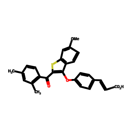 COc1ccc2c(Oc3ccc(/C=C/C(=O)O)cc3)c(C(=O)c3ccc(C)cc3C)sc2c1